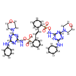 O=S(=O)(ONc1nc(Nc2ccccc2)nc(N2CCOCC2)n1)c1ccccc1C=Cc1ccccc1S(=O)(=O)ONc1nc(Nc2ccccc2)nc(N2CCOCC2)n1